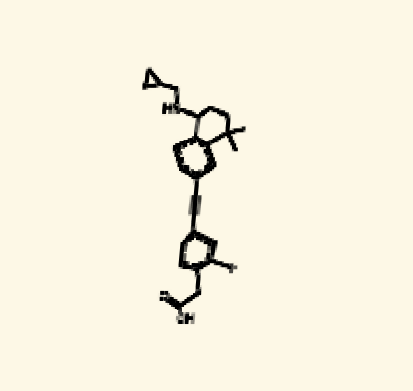 CC1(C)CCC(NCC2CC2)c2ccc(C#Cc3ccc(CC(=O)O)c(F)c3)cc21